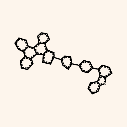 c1ccc2c(c1)sc1cccc(-c3ccc(-c4ccc(-c5ccc6c(c5)c5ccccc5c5c7ccccc7c7ccccc7c65)cc4)cc3)c12